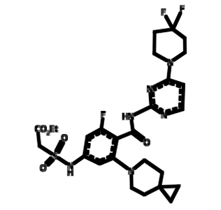 CCOC(=O)CS(=O)(=O)Nc1cc(F)c(C(=O)Nc2nccc(N3CCC(F)(F)CC3)n2)c(N2CCC3(CC2)CC3)c1